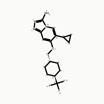 Nc1nnc2cc(OC[C@H]3CC[C@H](C(F)(F)F)CC3)c(C3CC3)cn12